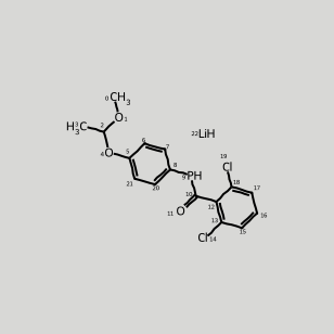 COC(C)Oc1ccc(PC(=O)c2c(Cl)cccc2Cl)cc1.[LiH]